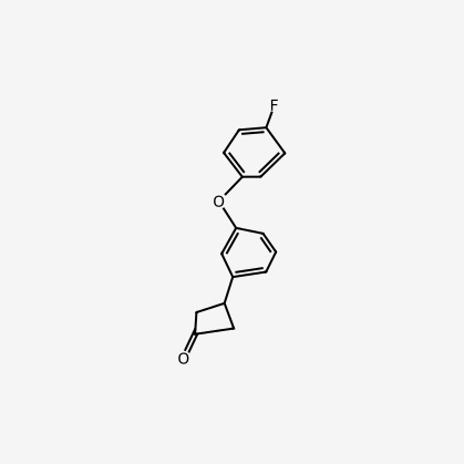 O=C1CC(c2cccc(Oc3ccc(F)cc3)c2)C1